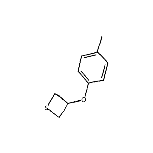 Cc1ccc(OC2CSC2)cc1